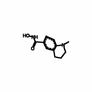 CN1CCCc2cc(C(=O)NO)ccc21